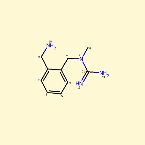 CN(Cc1ccccc1CN)C(=N)N